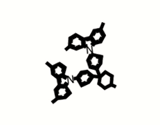 Cc1ccc2c(c1)c1cc(C)ccc1n2-c1ccc(C2(c3ccc(-n4c5ccc(C)cc5c5ccc(C)cc54)cc3)CCC(C)CC2)cc1